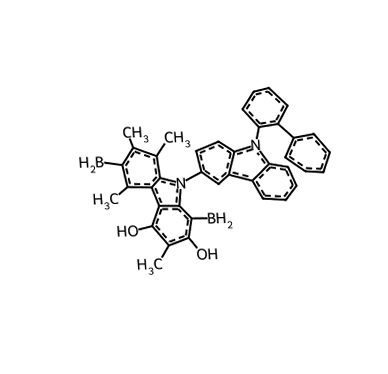 Bc1c(C)c(C)c2c(c1C)c1c(O)c(C)c(O)c(B)c1n2-c1ccc2c(c1)c1ccccc1n2-c1ccccc1-c1ccccc1